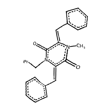 CC(C)Cn1c(=O)/c(=C/c2ccccc2)n(C)c(=O)/c1=C/c1ccccc1